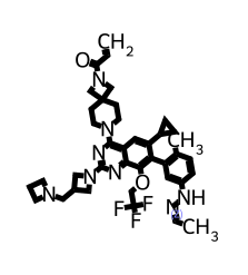 C=CC(=O)N1CC2(CCN(c3nc(N4CC(CN5CCC5)C4)nc4c(OCC(F)(F)F)c(-c5cc(N/N=C\C)ccc5C)c(C5CC5)cc34)CC2)C1